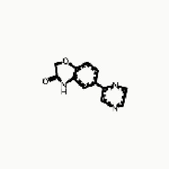 O=C1COc2ccc(-c3cnccn3)cc2N1